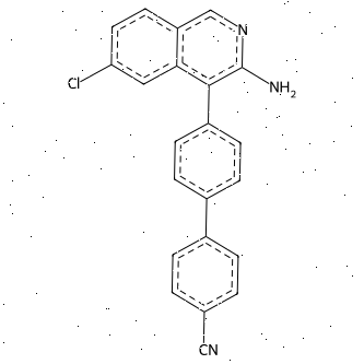 N#Cc1ccc(-c2ccc(-c3c(N)ncc4ccc(Cl)cc34)cc2)cc1